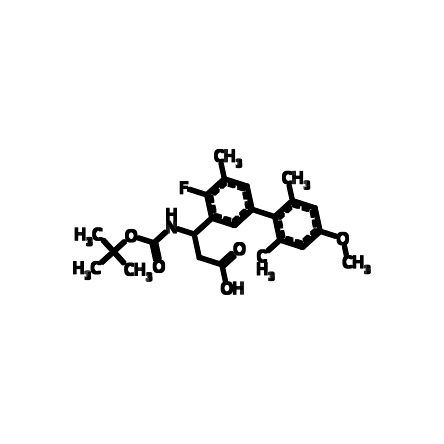 COc1cc(C)c(-c2cc(C)c(F)c(C(CC(=O)O)NC(=O)OC(C)(C)C)c2)c(C)c1